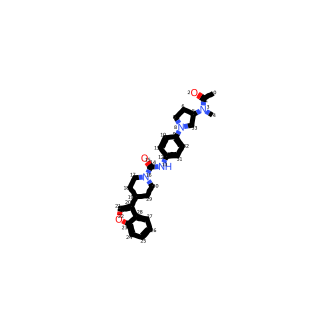 CC(=O)N(C)C1CCN(c2ccc(NC(=O)N3CCC(c4coc5ccccc45)CC3)cc2)C1